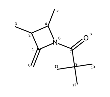 C=C1C(C)C(C)N1C(=O)C(C)(C)C